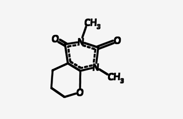 Cn1c2c(c(=O)n(C)c1=O)CCCO2